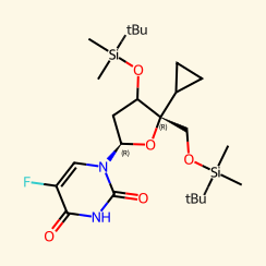 CC(C)(C)[Si](C)(C)OC[C@@]1(C2CC2)O[C@@H](n2cc(F)c(=O)[nH]c2=O)CC1O[Si](C)(C)C(C)(C)C